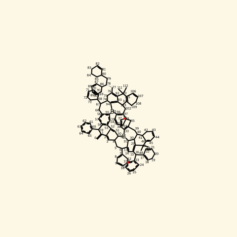 C=C1C2=CC3CC(C4=CC=CCC4)C4=CC(C(C5=CCCC=C5)c5ccccc5)=C5C6C4B(C4=C(CCC=C4)CC6C4CC=CC=C4C5(C)C)C3C=C2c2cc3c(cc2C1c1ccccc1)CC(C1C=CC=CC1)C1CC(C[C@@H](CC2C=CCCC2)C2C=CC=CC2)=C2C4=C1B3C1=C(CCC=C1)CC4C1=C(C=CCC1)C2(C)C